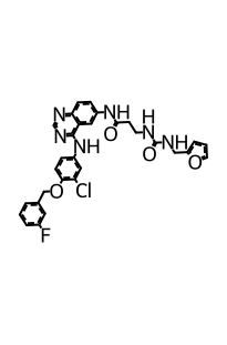 O=C(CCNC(=O)NCc1ccco1)Nc1ccc2ncnc(Nc3ccc(OCc4cccc(F)c4)c(Cl)c3)c2c1